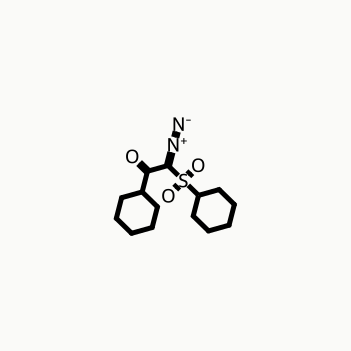 [N-]=[N+]=C(C(=O)C1CCCCC1)S(=O)(=O)C1CCCCC1